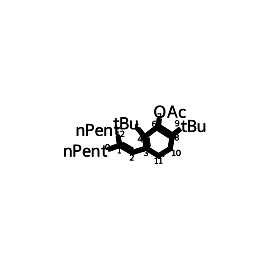 CCCCCC(=CC1=C(C(C)(C)C)C(OC(C)=O)=C(C(C)(C)C)C[CH]1)CCCCC